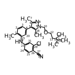 Cc1ccc(-c2c(C)nn(COCC[Si](C)(C)C)c2C)cc1Nc1ccc(C#N)c(Cl)c1